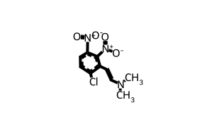 CN(C)/C=C/c1c(Cl)ccc([N+](=O)[O-])c1[N+](=O)[O-]